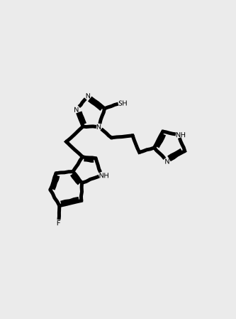 Fc1ccc2c(Cc3nnc(S)n3CCCc3c[nH]cn3)c[nH]c2c1